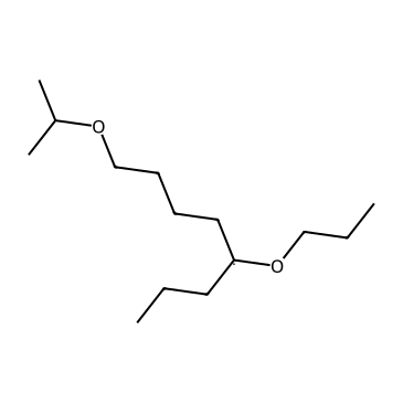 CCCO[C](CCC)CCCCOC(C)C